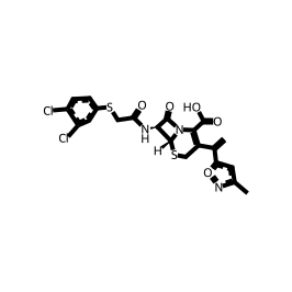 C=C(C1=C(C(=O)O)N2C(=O)[C@@H](NC(=O)CSc3ccc(Cl)c(Cl)c3)[C@H]2SC1)c1cc(C)no1